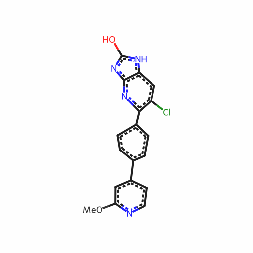 COc1cc(-c2ccc(-c3nc4nc(O)[nH]c4cc3Cl)cc2)ccn1